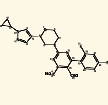 CCOC(=O)c1nc(C2CCO[C@@H](c3cnn(C4CC4)c3)C2)nc(-c2ccc(F)cc2F)c1C=O